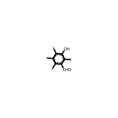 Cc1c(I)c(O)c(I)c(C=O)c1I